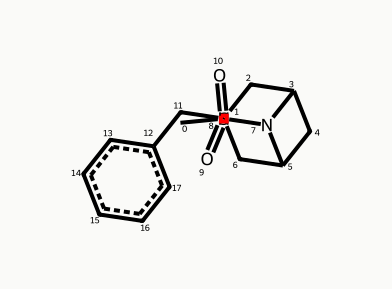 CN1CC2CC(C1)N2S(=O)(=O)Cc1ccccc1